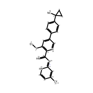 CCSc1cc(-c2ccc(C3(C#N)CC3)cc2)cnc1C(=N)/N=c1/cc(C(F)(F)F)cc[nH]1